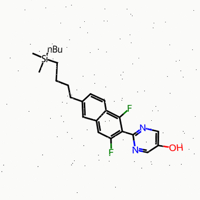 CCCC[Si](C)(C)CCCCc1ccc2c(F)c(-c3ncc(O)cn3)c(F)cc2c1